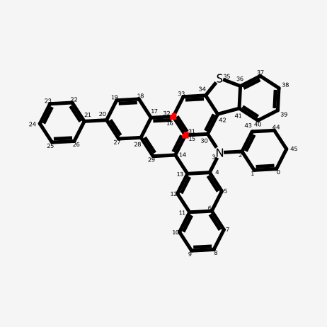 C1=CC(N(c2cc3ccccc3cc2-c2ccc3ccc(-c4ccccc4)cc3c2)c2cccc3sc4ccccc4c23)=CCC1